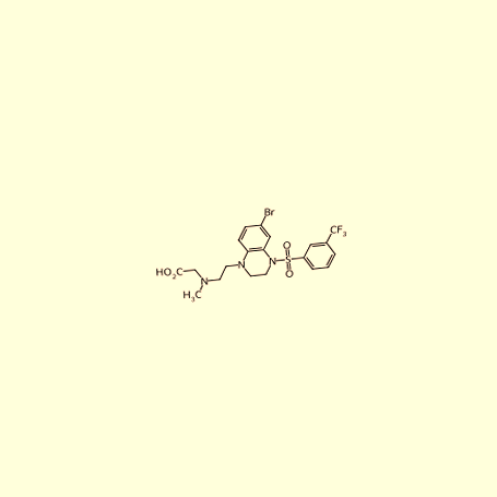 CN(CCN1CCN(S(=O)(=O)c2cccc(C(F)(F)F)c2)c2cc(Br)ccc21)CC(=O)O